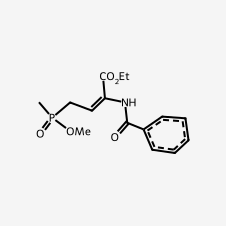 CCOC(=O)C(=CCP(C)(=O)OC)NC(=O)c1ccccc1